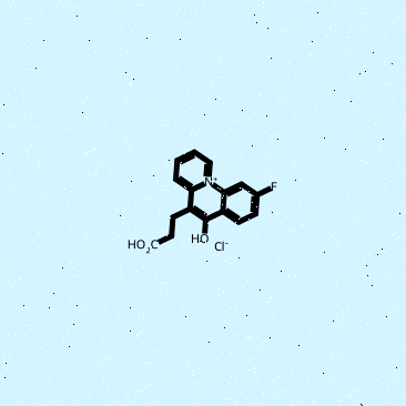 O=C(O)CCc1c(O)c2ccc(F)cc2[n+]2ccccc12.[Cl-]